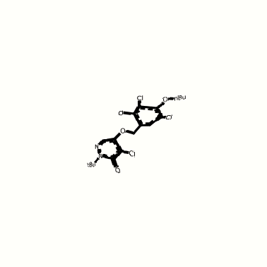 CCCCOc1c(Cl)cc(COc2cnn(C(C)(C)C)c(=O)c2Cl)c(Cl)c1Cl